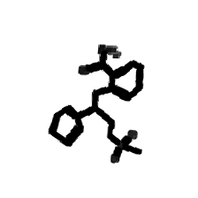 CS(=O)(=O)CCC(Cc1ccccc1C(N)=O)c1ccccc1